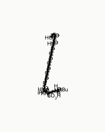 CC(C)[C@H](NC(=O)CCOCCOCCOCCOCCOCCOCCOCCOCCNC(=O)CCN1C(=O)C=CC1O)C(=O)N[C@@H](CCCCNC(=O)OC(C)(C)C)C(=O)O